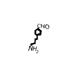 NCCCCc1ccc(C=O)cc1